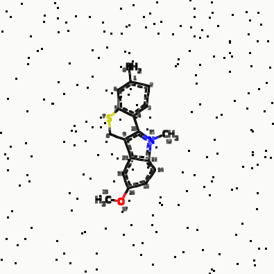 Bc1ccc2c(c1)SCc1c-2n(C)c2ccc(OC)cc12